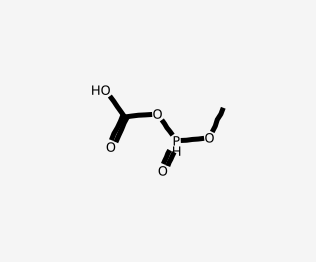 CO[PH](=O)OC(=O)O